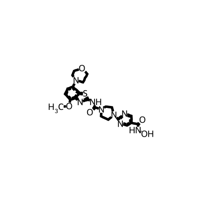 COc1ccc(N2CCOCC2)c2sc(NC(=O)N3CCN(c4ncc(C(=O)NO)cn4)CC3)nc12